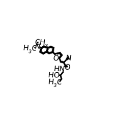 CCC(O)CNC(=O)/C(C#N)=C/c1ccc(-c2ccc3cc(N(C)C)ccc3c2)o1